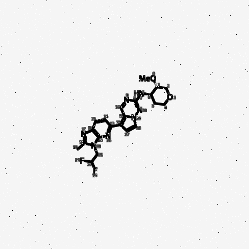 CO[C@@H]1COCC[C@H]1Nc1ncc2c(-c3ccc4nc(C)n(CC(F)F)c4n3)ccn2n1